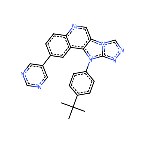 CC(C)(C)c1ccc(-n2c3c4cc(-c5cncnc5)ccc4ncc3n3cnnc23)cc1